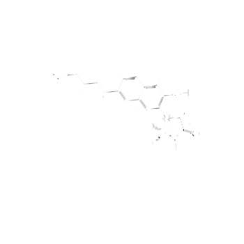 N#CCCCCc1ccc2cc(O)c(N3CC(=O)NS3(=O)=O)cc2c1